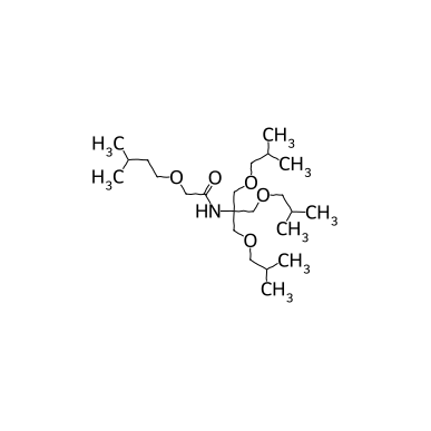 CC(C)CCOCC(=O)NC(COCC(C)C)(COCC(C)C)COCC(C)C